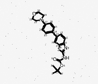 CC(C)(C)OC(=O)Nc1nc2ccc(-c3ccc(N4CCOCC4)cc3)cc2s1